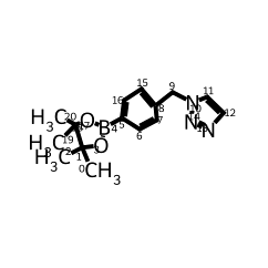 CC1(C)OB(c2ccc(Cn3ccnn3)cc2)OC1(C)C